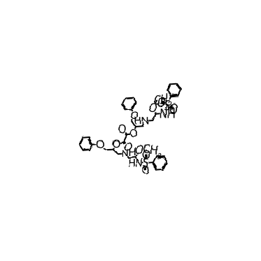 COC(CNCC(COc1ccccc1)OC(=O)C(=O)OC(CNCC(NS(=O)(=O)c1ccccc1)OC)COc1ccccc1)NS(=O)(=O)c1ccccc1